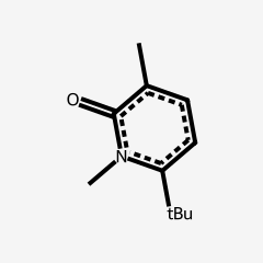 Cc1ccc(C(C)(C)C)n(C)c1=O